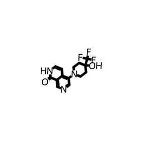 O=c1[nH]ccc2c(N3CCC(O)(C(F)(F)F)CC3)cncc12